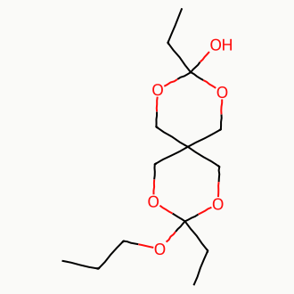 CCCOC1(CC)OCC2(COC(O)(CC)OC2)CO1